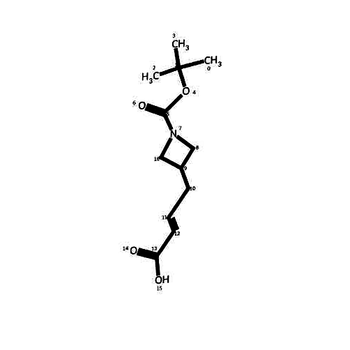 CC(C)(C)OC(=O)N1CC(CC=CC(=O)O)C1